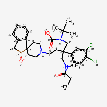 CCC(=O)N(C)CC(CCN1CCC2(CC1)c1ccccc1C[S@+]2[O-])(CN(C(=O)O)C(C)(C)C)c1ccc(Cl)c(Cl)c1